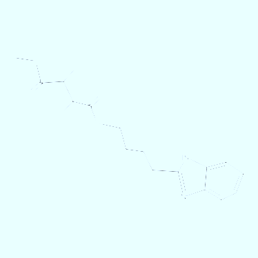 COC(=O)C(O)C(O)C(=O)OCCCCc1nc2ccccc2[nH]1